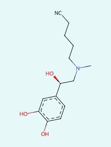 CN(CCCCC#N)C[C@H](O)c1ccc(O)c(O)c1